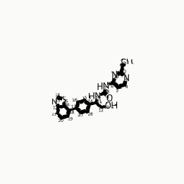 C#Cc1nccc(NC(=O)NC(CO)c2ccc(-c3cccc4ncsc34)cc2)n1